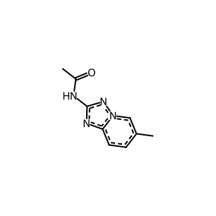 CC(=O)Nc1nc2ccc(C)cn2n1